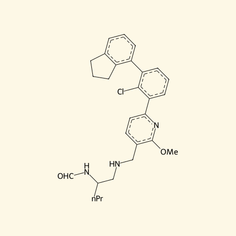 CCCC(CNCc1ccc(-c2cccc(-c3cccc4c3CCC4)c2Cl)nc1OC)NC=O